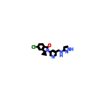 O=C1c2ccc(Cl)cc2C2(CC2)N1c1cncc(CNc2cc[nH]n2)c1